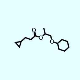 CC(COC1CCCCC1)OC(=O)CCC1CC1